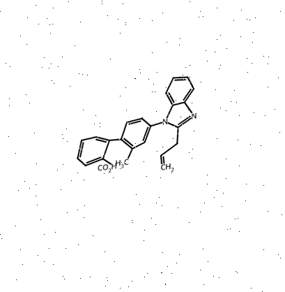 C=CCc1nc2ccccc2n1-c1ccc(-c2ccccc2C(=O)O)c(C)c1